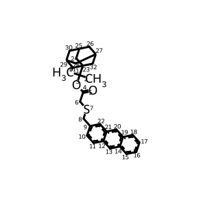 CC(C)(OC(=O)CSCc1ccc2cc3ccccc3cc2c1)C12CC3CC(CC(C3)C1)C2